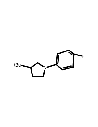 CC(C)(C)C1CCN(c2ccc(F)cc2)C1